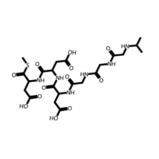 CSC(=O)C(CC(=O)O)NC(=O)C(CC(=O)O)NC(=O)C(CC(=O)O)NC(=O)CNC(=O)CNC(=O)CNC(C)C